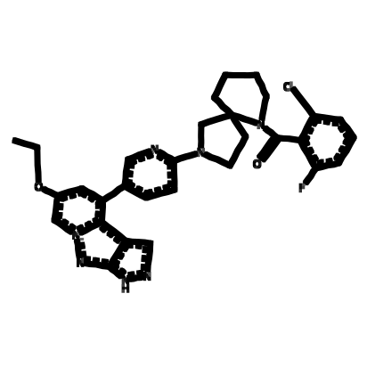 CCOc1cc(-c2ccc(N3CCC4(CCCCN4C(=O)c4c(F)cccc4Cl)C3)nc2)c2c3cn[nH]c3nn2c1